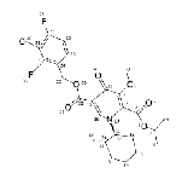 COc1c(C(=O)OC(C)C)n([C@H]2CCCC[C@@H]2C)cc(C(=O)OCc2ccc(F)c(Cl)c2F)c1=O